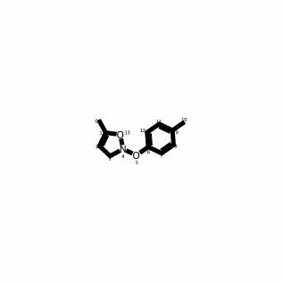 CC1=CCN(Oc2ccc(C)cc2)O1